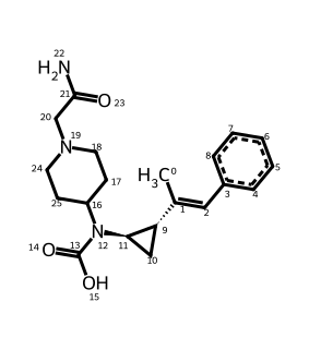 C/C(=C\c1ccccc1)[C@@H]1C[C@H]1N(C(=O)O)C1CCN(CC(N)=O)CC1